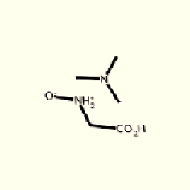 CN(C)C.O=C(O)C[NH2+][O-]